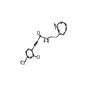 O=C(C#Cc1ccc(Cl)cc1Cl)NCCc1ccccn1